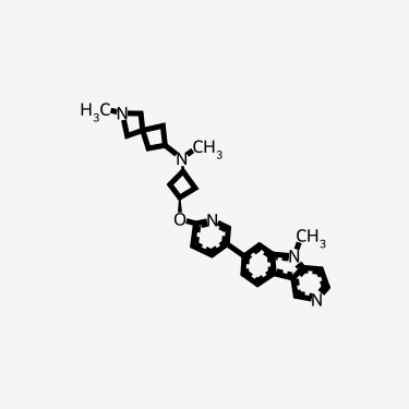 CN1CC2(CC(N(C)[C@H]3C[C@H](Oc4ccc(-c5ccc6c7cnccc7n(C)c6c5)cn4)C3)C2)C1